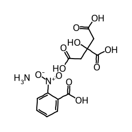 N.O=C(O)CC(O)(CC(=O)O)C(=O)O.O=C(O)c1ccccc1[N+](=O)[O-]